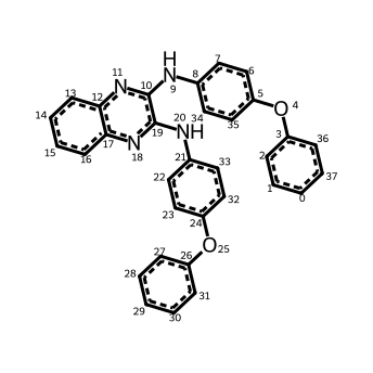 c1ccc(Oc2ccc(Nc3nc4ccccc4nc3Nc3ccc(Oc4ccccc4)cc3)cc2)cc1